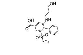 NS(=O)(=O)c1cc(C(=O)O)cc(NCCCO)c1-c1ccccc1